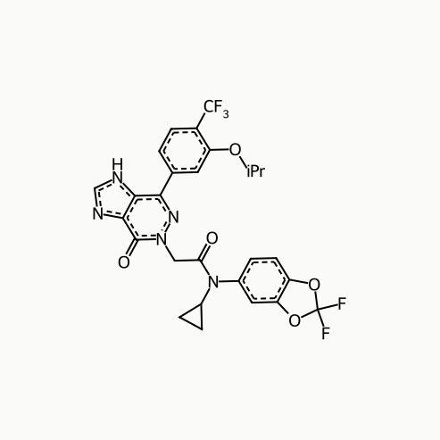 CC(C)Oc1cc(-c2nn(CC(=O)N(c3ccc4c(c3)OC(F)(F)O4)C3CC3)c(=O)c3nc[nH]c23)ccc1C(F)(F)F